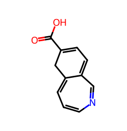 O=C(O)C1=CC=C2C=NC=CC=C2C1